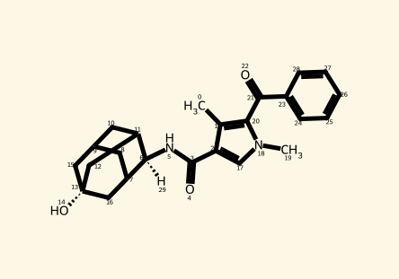 Cc1c(C(=O)N[C@H]2C3CC4CC2C[C@](O)(C4)C3)cn(C)c1C(=O)c1ccccc1